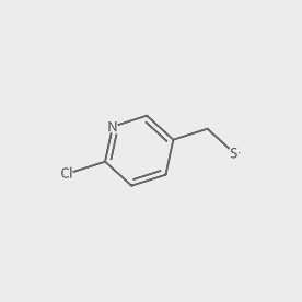 [S]Cc1ccc(Cl)nc1